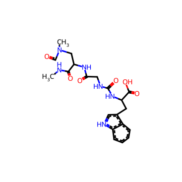 CNC(=O)C(CN(C)C=O)NC(=O)CNC(=O)NC(Cc1c[nH]c2ccccc12)C(=O)O